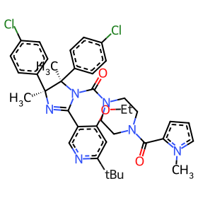 CCOc1cc(C(C)(C)C)ncc1C1=N[C@@](C)(c2ccc(Cl)cc2)[C@@](C)(c2ccc(Cl)cc2)N1C(=O)N1CCN(C(=O)c2cccn2C)CC1